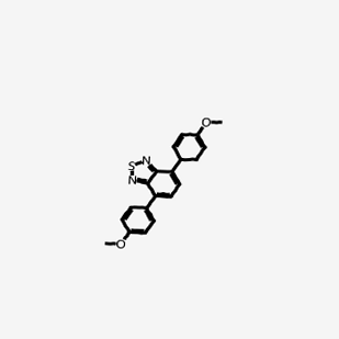 COC1=CCC(c2ccc(-c3ccc(OC)cc3)c3nsnc23)C=C1